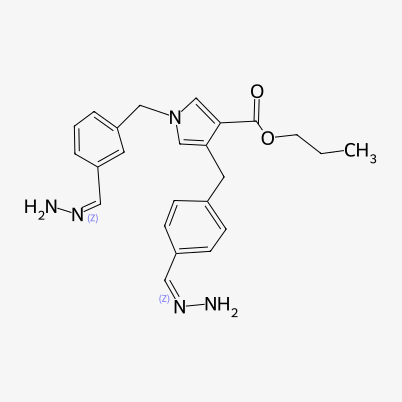 CCCOC(=O)c1cn(Cc2cccc(/C=N\N)c2)cc1Cc1ccc(/C=N\N)cc1